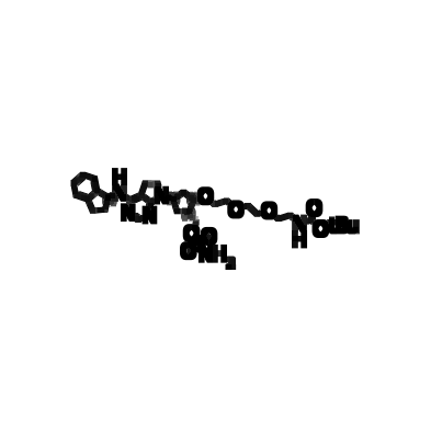 CC(C)(C)OC(=O)NCCOCCOCCO[C@H]1C[C@H](n2ccc3c(N[C@H]4CCc5ccccc54)ncnc32)C[C@H]1COS(N)(=O)=O